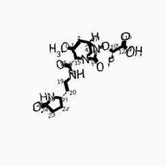 CC1=C[C@H]2CN(C(=O)N2O[C@@H](F)C(=O)O)[C@@H]1C(=O)NCC[C@@H]1CCC(=O)N1